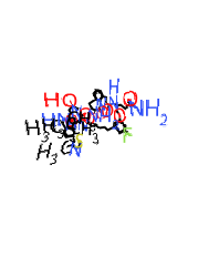 Cc1ncsc1-c1ccc([C@H](C)NC(=O)[C@@H]2C[C@@H](O)CN2C(=O)[C@@H](NC(=O)CCCCCc2cc(F)cc(OC[C@H](CCC(N)=O)NC(=O)[C@@H]3Cc4cccc5c4N3C(=O)[C@@H](N)CC5)c2)C(C)(C)C)cc1